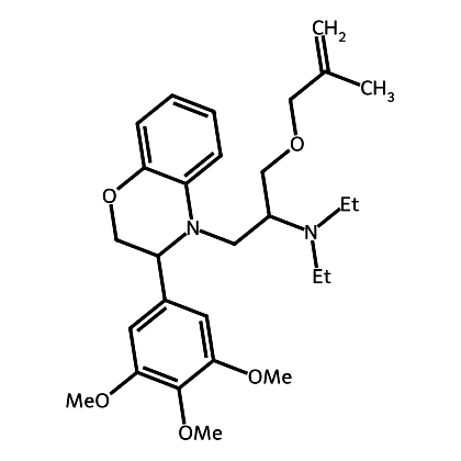 C=C(C)COCC(CN1c2ccccc2OCC1c1cc(OC)c(OC)c(OC)c1)N(CC)CC